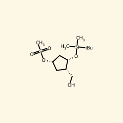 CC(C)(C)[Si](C)(C)O[C@H]1C[C@@H](OS(C)(=O)=O)C[C@H]1CO